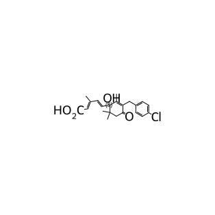 CC(C=C[C@@]1(O)C(C)=C(Cc2ccc(Cl)cc2)C(=O)CC1(C)C)=CC(=O)O